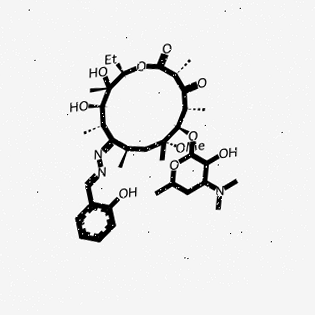 CC[C@H]1OC(=O)[C@H](C)C(=O)[C@H](C)[C@@H](OC2OC(C)CC(N(C)C)C2O)[C@](C)(OC)C[C@@H](C)/C(=N\N=C\c2ccccc2O)[C@H](C)[C@@H](O)[C@]1(C)O